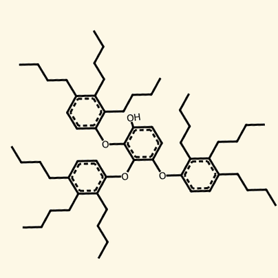 CCCCc1ccc(Oc2ccc(O)c(Oc3ccc(CCCC)c(CCCC)c3CCCC)c2Oc2ccc(CCCC)c(CCCC)c2CCCC)c(CCCC)c1CCCC